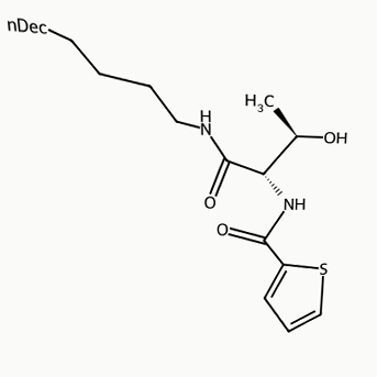 CCCCCCCCCCCCCCNC(=O)[C@@H](NC(=O)c1cccs1)[C@@H](C)O